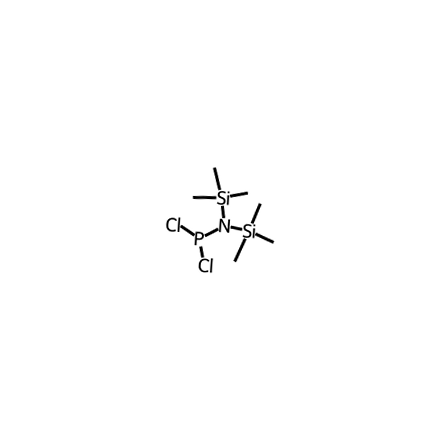 C[Si](C)(C)N(P(Cl)Cl)[Si](C)(C)C